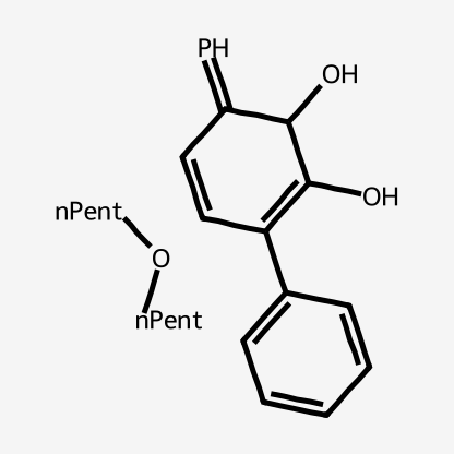 CCCCCOCCCCC.OC1=C(c2ccccc2)C=CC(=P)C1O